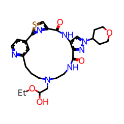 CCOC(O)CN1CCCc2cc(ccn2)-c2nc(cs2)C(=O)Nc2cn(C3CCOCC3)nc2C(=O)NCC1